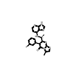 Cc1csc2nc([C@H](C)Nc3ccnc4[nH]cnc34)c(-c3cccc(F)c3)c(=O)n12